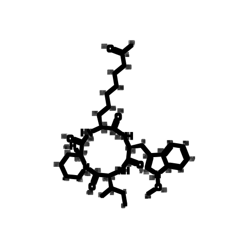 CCC(C)[C@@H]1NC(=O)[C@H](Cc2cn(OC)c3ccccc23)NC(=O)[C@H](CCCCCCC(C)=O)NC(=O)[C@H]2CCCCN2C1=O